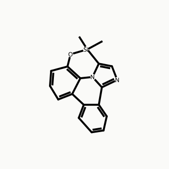 C[Si]1(C)Oc2cccc3c4ccccc4c4ncc1n4c23